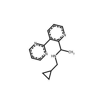 CC(NCC1CC1)c1ncccc1-c1ncccn1